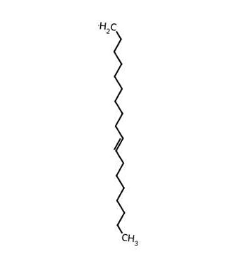 [CH2]CCCCCCCCC=CCCCCCCC